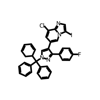 Fc1ccc(-c2nn(C(c3ccccc3)(c3ccccc3)C3C=CC=CC3)cc2-c2cc(Cl)c3ncc(I)n3c2)cc1